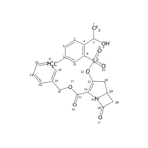 Cc1ccc(C(O)C(F)(F)F)c(S(=O)(=O)OC2=C(C(=O)OCc3ccccc3)N3C(=O)CC3C2)c1